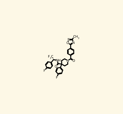 Cc1noc(-c2ccc(C(=O)N3CCC(C(=O)N[C@H](c4ccc(F)cc4)C(F)(F)F)(c4ccc(F)cc4)CC3)cc2)n1